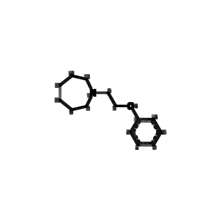 c1ccc(OCCN2CCCCCC2)cc1